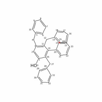 Oc1cc(Cc2ccccc2)c(Cc2ccccc2)c(-c2ccccc2)c1Cc1ccccc1